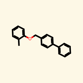 Cc1ccccc1OCc1ccc(-c2ccccc2)cc1